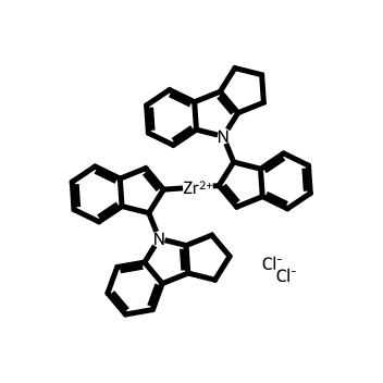 C1=[C]([Zr+2][C]2=Cc3ccccc3C2n2c3c(c4ccccc42)CCC3)C(n2c3c(c4ccccc42)CCC3)c2ccccc21.[Cl-].[Cl-]